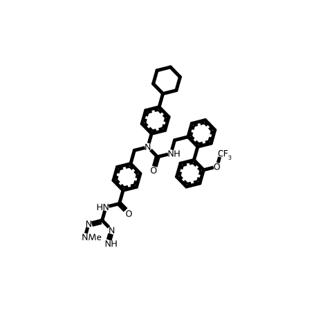 CN/N=C(\N=N)NC(=O)c1ccc(CN(C(=O)NCc2ccccc2-c2ccccc2OC(F)(F)F)c2ccc(C3CCCCC3)cc2)cc1